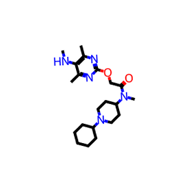 CNc1c(C)nc(OCC(=O)N(C)C2CCN(C3CCCCC3)CC2)nc1C